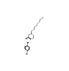 CCCCCCCCCC1CCc2nc(-c3ccc(C(=O)O)cc3)ncc2C1